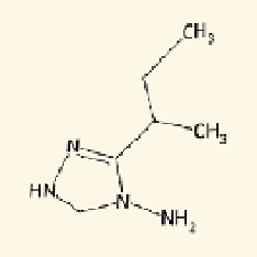 CCC(C)C1=NNCN1N